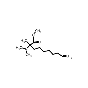 C=CCCCCCCC(C)(C(=O)OC)N(C)C